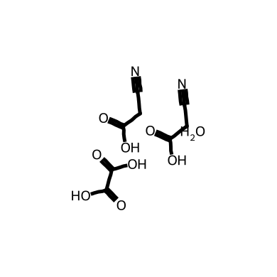 N#CCC(=O)O.N#CCC(=O)O.O.O=C(O)C(=O)O